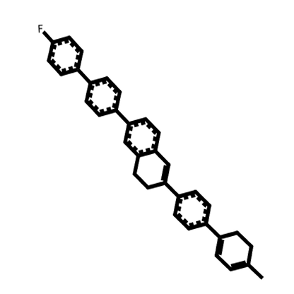 CC1=CC=C(c2ccc(C3=Cc4ccc(-c5ccc(-c6ccc(F)cc6)cc5)cc4CC3)cc2)CC1